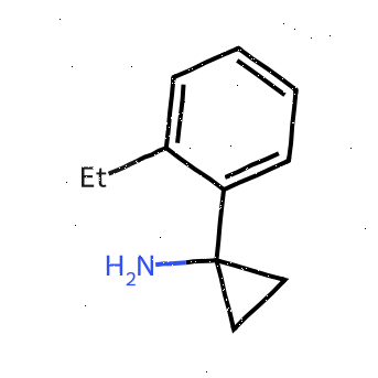 CCc1ccccc1C1(N)CC1